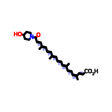 CC(=C/C=C/C(C)=C/C=C/C=C(C)/C=C/C=C(C)/C=C/C(=O)N1CCC(O)CC1)/C=C/C(=O)O